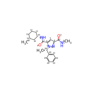 CNC(=O)c1cc(C(=O)N[C@H]2CCC[C@@H](C)C2)n([C@@H](C)c2ccccc2)n1